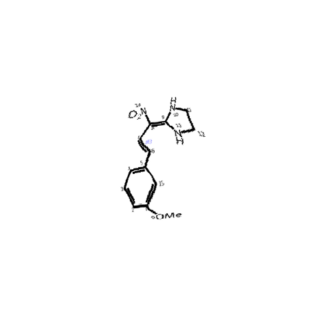 COc1cccc(/C=C/C(=C2NCCN2)[N+](=O)[O-])c1